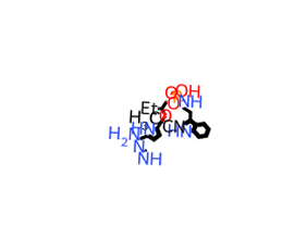 CCC(COP(=O)(O)NCCc1c[nH]c2ccccc12)OC(C)(C#N)c1ccc(/C(N)=N\C=N)[nH]1